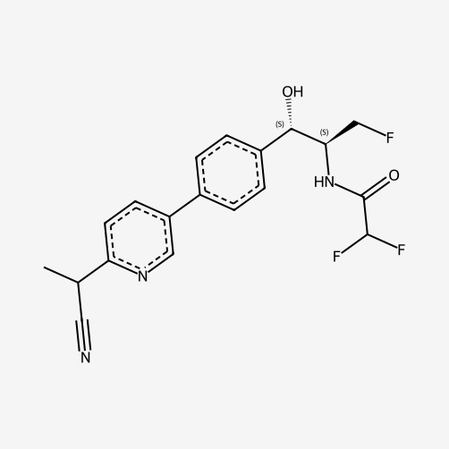 CC(C#N)c1ccc(-c2ccc([C@H](O)[C@@H](CF)NC(=O)C(F)F)cc2)cn1